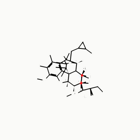 [2H]C1([2H])C([2H])(C)[C@@]2(OC)[C@]3([2H])Oc4c(OC)c(C)c(C)c5c4[C@@]34C(C)(C)C(C)(C)N(CC3CC3C)[C@]([2H])(C5(C)C)C14[C@]([2H])(C)[C@]2([2H])[C@](C)(O)C(C)(C)CC